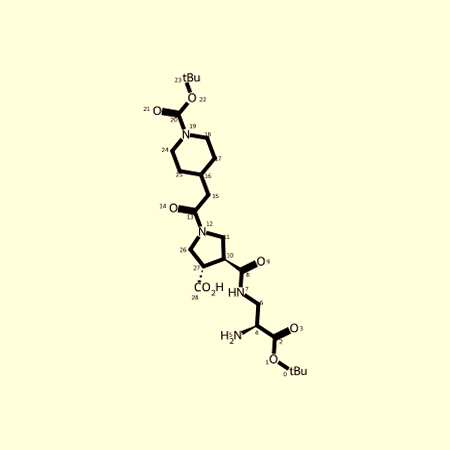 CC(C)(C)OC(=O)[C@@H](N)CNC(=O)[C@@H]1CN(C(=O)CC2CCN(C(=O)OC(C)(C)C)CC2)C[C@H]1C(=O)O